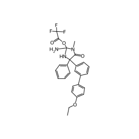 CCOc1ccc(-c2cccc(C3(c4ccccc4)NC(N)(OC(=O)C(F)(F)F)N(C)C3=O)c2)cc1